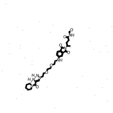 CC(CCC(=O)NC=O)N1C(=O)c2ccc(NCCOCCOCCN(N)/C=C(\N)C(=O)N3CCCCC3)cc2C1=O